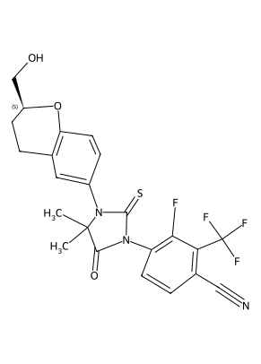 CC1(C)C(=O)N(c2ccc(C#N)c(C(F)(F)F)c2F)C(=S)N1c1ccc2c(c1)CC[C@@H](CO)O2